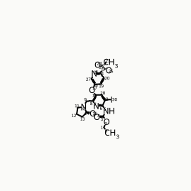 CCOC(=O)Nc1nc(CN2CCCC2=O)c(Oc2ccc(S(C)(=O)=O)nc2)cc1I